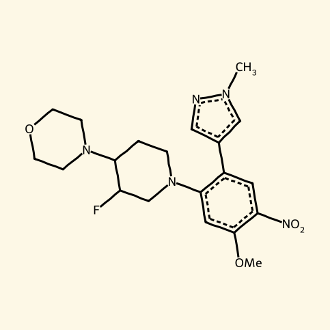 COc1cc(N2CCC(N3CCOCC3)C(F)C2)c(-c2cnn(C)c2)cc1[N+](=O)[O-]